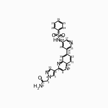 NC(=O)Cn1cc(-c2cnc3ccc(-c4cncc(NS(=O)(=O)c5ccccc5)c4)cc3n2)cn1